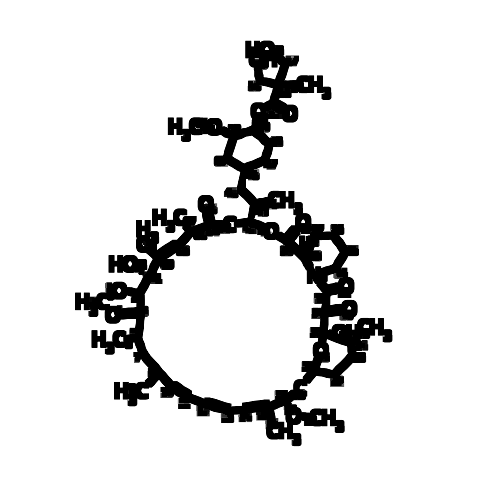 COC1C(=O)C(C)CC(C)/C=C/C=C/C=C(\C)[C@@H](OC)CC2CC[C@@H](C)[C@@](O)(O2)C(=O)C(=O)N2CCCC[C@H]2C(=O)O[C@H](C(C)C[C@@H]2CC[C@@H](OC(=O)C(C)(CO)CO)C(OC)C2)CC(=O)[C@H](C)/C=C(\C)[C@H]1O